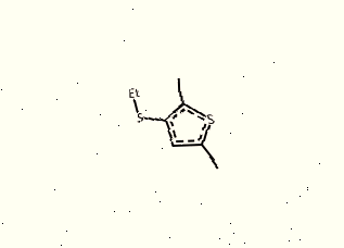 CCSc1cc(C)sc1C